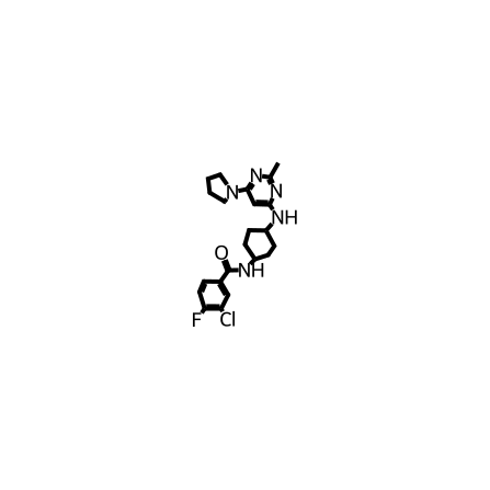 Cc1nc(NC2CCC(NC(=O)c3ccc(F)c(Cl)c3)CC2)cc(N2CCCC2)n1